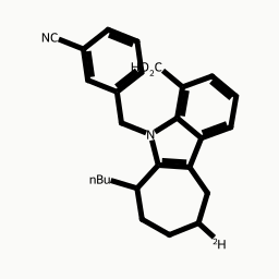 [2H]C1CCC(CCCC)c2c(c3cccc(C(=O)O)c3n2Cc2cccc(C#N)c2)C1